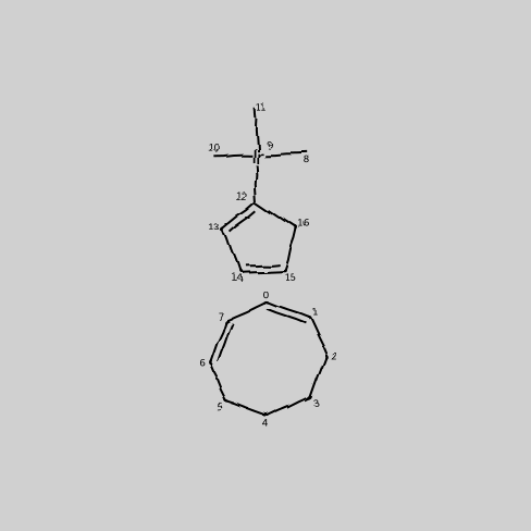 C1=C\CCCC\C=C/1.[CH3][Ir]([CH3])([CH3])[C]1=CC=CC1